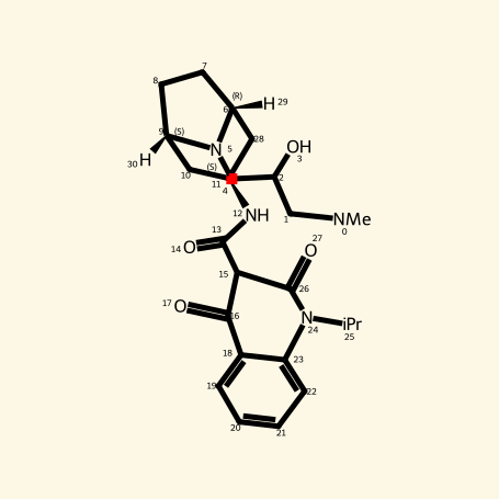 CNCC(O)CN1[C@@H]2CC[C@H]1C[C@H](NC(=O)C1C(=O)c3ccccc3N(C(C)C)C1=O)C2